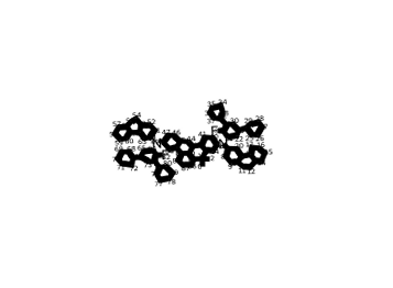 CC1(C)c2cc(N(c3ccc4ccc5ccccc5c4c3)c3cc(-c4ccccc4)cc(-c4ccccc4)c3F)ccc2-c2cc3ccc(N(c4ccc5ccc6ccccc6c5c4)c4cc(-c5ccccc5)cc(-c5ccccc5)c4F)cc3c3cccc1c23